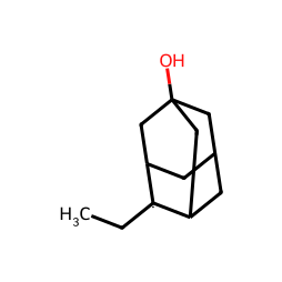 CC[C]1C2CC3CC1CC(O)(C3)C2